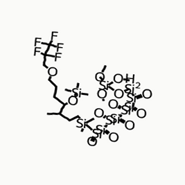 CO[Si](OC)(OC)O[SiH2][Si](=O)[Si](=O)[Si](=O)[Si](=O)[Si](=O)[Si](=O)[Si](=O)[Si](C)(C)CCC(C)C(CCCOCC(F)(F)C(F)(F)F)O[Si](C)(C)C